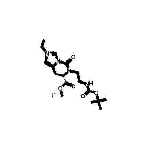 CC[n+]1cc2n(c1)C(=O)N(CCNC(=O)OC(C)(C)C)[C@H](C(=O)OC)C2.[I-]